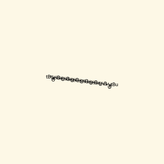 CC(C)(C)C(=O)CCOCCOCCOCCOCCOCCOCCOCCOCCOCCOCCOCCC(=O)C(C)(C)C